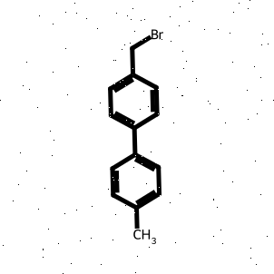 Cc1ccc(-c2ccc(CBr)cc2)cc1